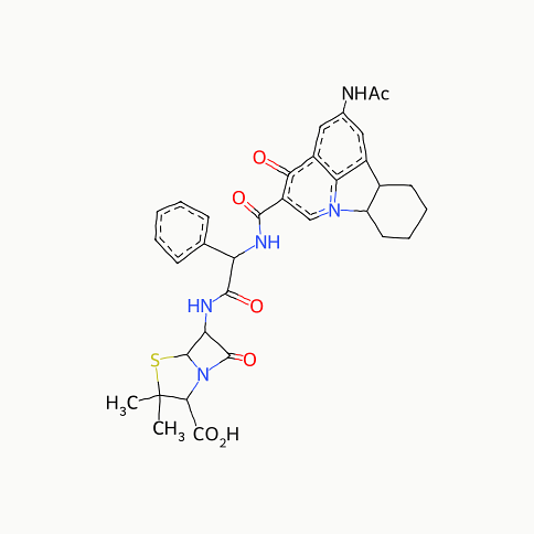 CC(=O)Nc1cc2c3c(c1)c(=O)c(C(=O)NC(C(=O)NC1C(=O)N4C1SC(C)(C)C4C(=O)O)c1ccccc1)cn3C1CCCCC21